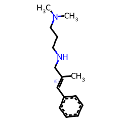 C/C(=C\c1ccccc1)CNCCCN(C)C